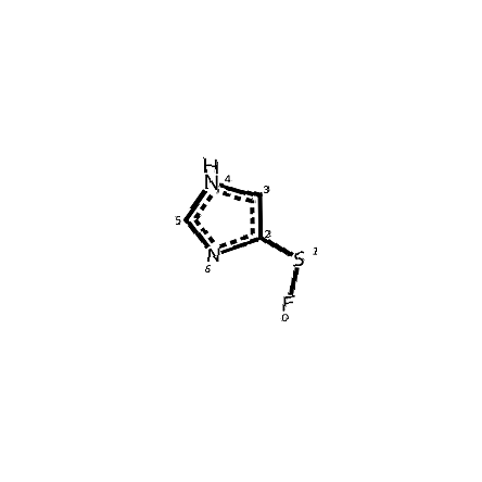 FSc1c[nH]cn1